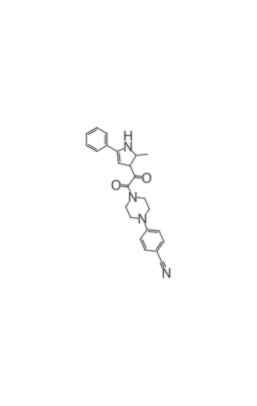 CC1NC(c2ccccc2)=CC1C(=O)C(=O)N1CCN(c2ccc(C#N)cc2)CC1